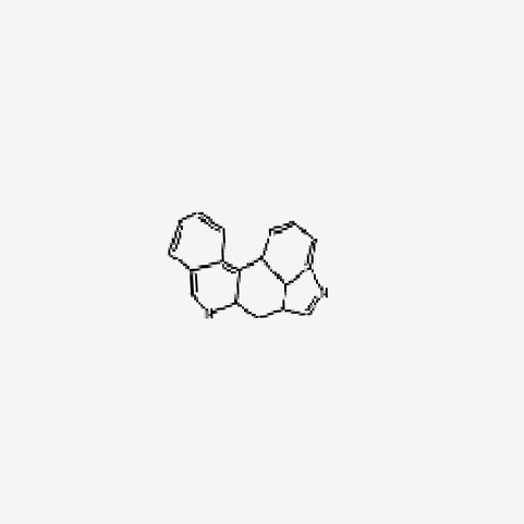 C1=CC2C3=c4ccccc4=CNC3CC3C=NC(=C1)C32